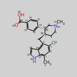 Cc1cc(Cl)c(C[C@@H]2CCN(C)C[C@H]2c2ccc(C(=O)O)cc2)c2cc[nH]c12